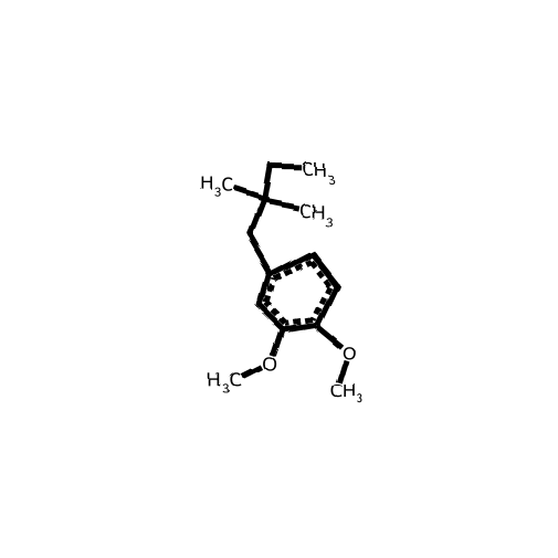 CCC(C)(C)Cc1ccc(OC)c(OC)c1